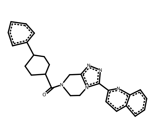 O=C(C1CCC(c2ccccc2)CC1)N1CCn2c(nnc2-c2ccc3ccccc3n2)C1